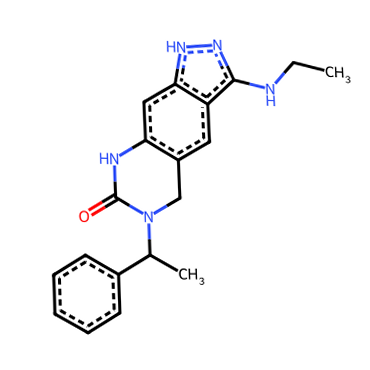 CCNc1n[nH]c2cc3c(cc12)CN(C(C)c1ccccc1)C(=O)N3